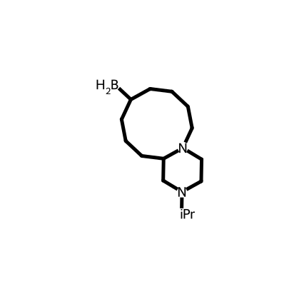 BC1CCCCN2CCN(C(C)C)CC2CCC1